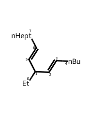 [CH2]CC(C=CCCCC)C=CCCCCCCC